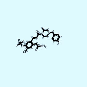 CC1CN(Cc2ccc(F)cc2)CCN1C(=O)C=Cc1cc(OC(F)(F)F)c(Cl)cc1CC(N)=O